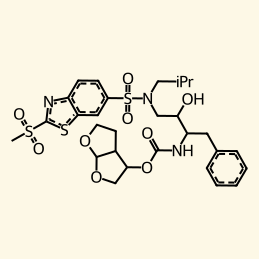 CC(C)CN(CC(O)C(Cc1ccccc1)NC(=O)OC1COC2OCCC12)S(=O)(=O)c1ccc2nc(S(C)(=O)=O)sc2c1